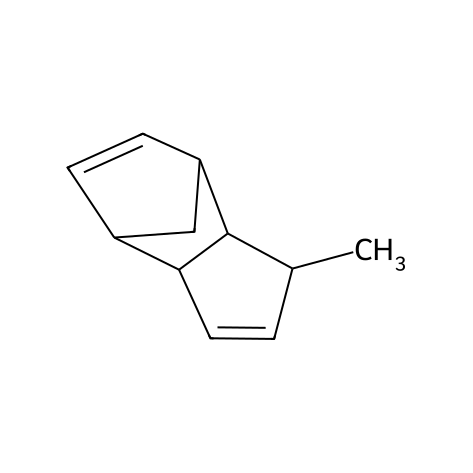 CC1C=CC2C3C=CC(C3)C12